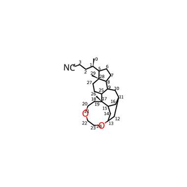 C[C@H](CCC#N)C1CCC2C3CC4CC5CC(C4)[C@](C)(CCOCCO5)C3CC[C@@]21C